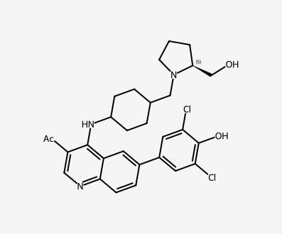 CC(=O)c1cnc2ccc(-c3cc(Cl)c(O)c(Cl)c3)cc2c1NC1CCC(CN2CCC[C@H]2CO)CC1